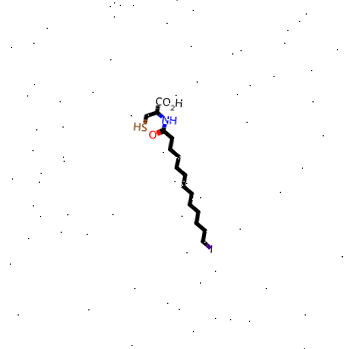 O=C(CCCCCCCCCCCCI)NC(CS)C(=O)O